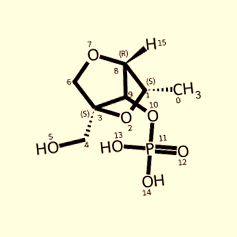 C[C@@H]1O[C@@]2(CO)CO[C@H]1C2OP(=O)(O)O